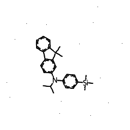 CC(C)N(c1ccc([Si](C)(C)C)cc1)c1ccc2c(c1)C(C)(C)c1ccccc1-2